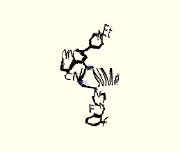 CCN1CC=C(c2cc(C(/C=C\CN3CCN(CC4=C(F)CCC=C4F)CC3)=C/NC)c3c(C#N)cnn3c2)CC1